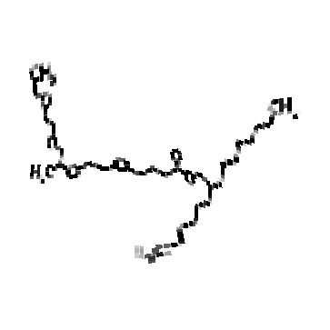 CCCCCCCCC(CCCCCC)COC(=O)CCCOCCOC(C)COCCOCC